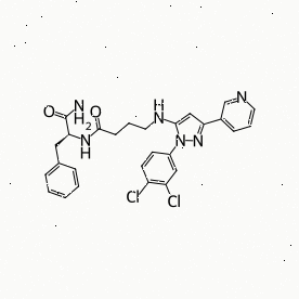 NC(=O)[C@H](Cc1ccccc1)NC(=O)CCCNc1cc(-c2cccnc2)nn1-c1ccc(Cl)c(Cl)c1